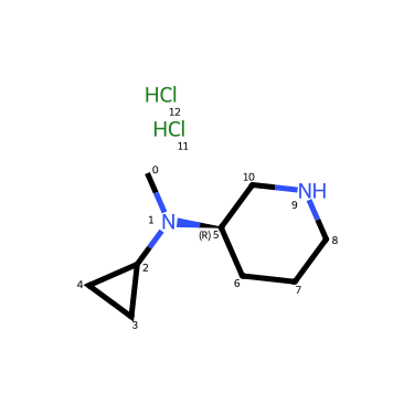 CN(C1CC1)[C@@H]1CCCNC1.Cl.Cl